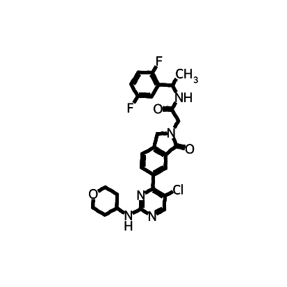 CC(NC(=O)CN1Cc2ccc(-c3nc(NC4CCOCC4)ncc3Cl)cc2C1=O)c1cc(F)ccc1F